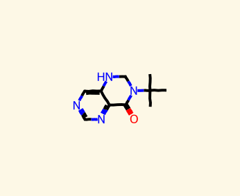 CC(C)(C)N1CNc2cncnc2C1=O